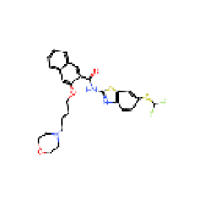 O=C(Nc1nc2ccc(SC(F)F)cc2s1)c1cc2ccccc2cc1OCCCCN1CCOCC1